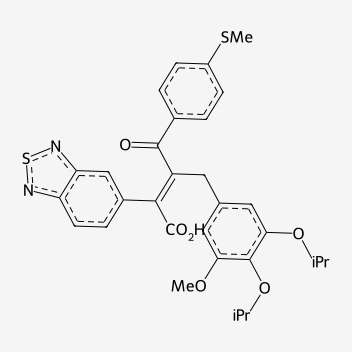 COc1cc(CC(C(=O)c2ccc(SC)cc2)=C(C(=O)O)c2ccc3nsnc3c2)cc(OC(C)C)c1OC(C)C